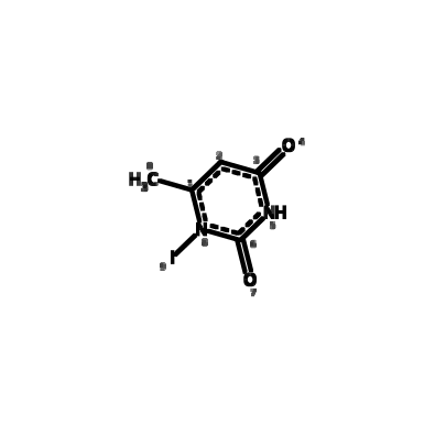 Cc1cc(=O)[nH]c(=O)n1I